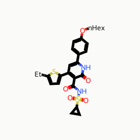 CCCCCCOc1ccc(-c2cc(-c3ccc(CC)s3)c(C(=O)NS(=O)(=O)C3CC3)c(=O)[nH]2)cc1